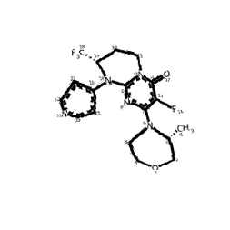 C[C@@H]1COCCN1c1nc2n(c(=O)c1F)CC[C@@H](C(F)(F)F)N2c1ccncc1